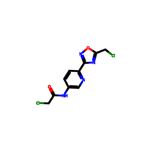 O=C(CCl)Nc1ccc(-c2noc(CCl)n2)nc1